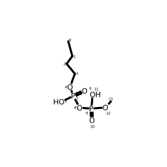 CCCCOP(=O)(O)OP(=O)(O)OC